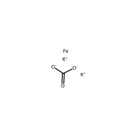 O=C([O-])[O-].[Fe].[K+].[K+]